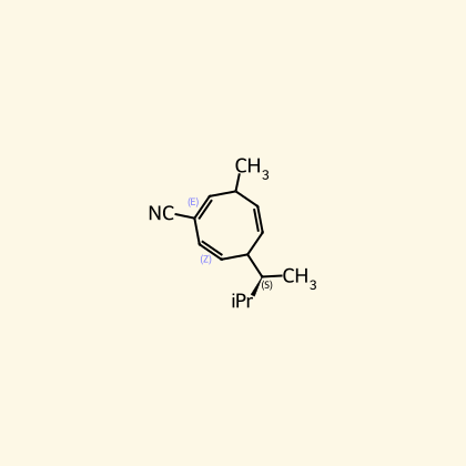 CC1C=CC([C@@H](C)C(C)C)/C=C\C(C#N)=C/1